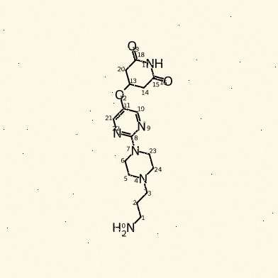 NCCCN1CCN(c2ncc(OC3CC(=O)NC(=O)C3)cn2)CC1